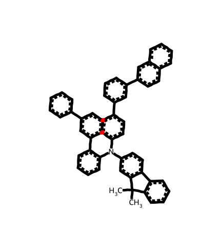 CC1(C)c2ccccc2-c2ccc(N(c3ccc(-c4cccc(-c5ccc6ccccc6c5)c4)cc3)c3ccccc3-c3cccc(-c4ccccc4)c3)cc21